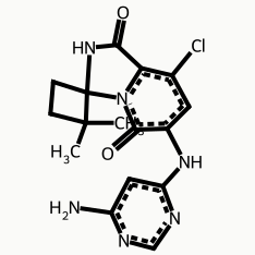 CC1(C)CCC12NC(=O)c1c(Cl)cc(Nc3cc(N)ncn3)c(=O)n12